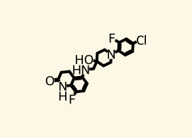 O=C1CCc2c(NCC3(O)CCN(c4ccc(Cl)cc4F)CC3)ccc(F)c2N1